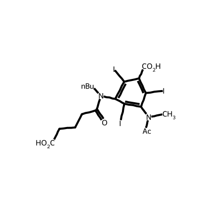 CCCCN(C(=O)CCCC(=O)O)c1c(I)c(C(=O)O)c(I)c(N(C)C(C)=O)c1I